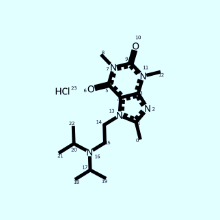 Cc1nc2c(c(=O)n(C)c(=O)n2C)n1CCN(C(C)C)C(C)C.Cl